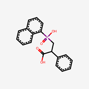 O=C(O)C(CP(=O)(O)c1cccc2ccccc12)c1ccccc1